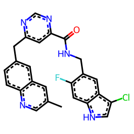 Cc1cnc2ccc(Cc3cc(C(=O)NCc4cc5c(Cl)c[nH]c5cc4F)ncn3)cc2c1